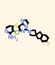 Nc1nccc(Sc2cnc(N3CCC4(CC3)Cc3ccc(F)cc3C4)n3ccnc23)c1Cl